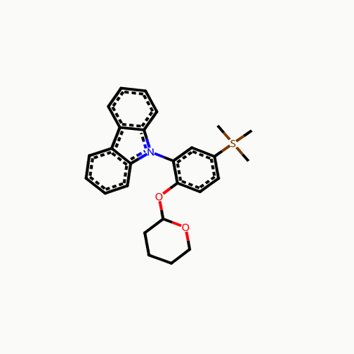 CS(C)(C)c1ccc(OC2CCCCO2)c(-n2c3ccccc3c3ccccc32)c1